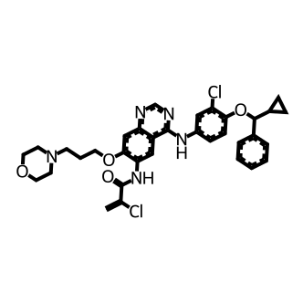 C=C(Cl)C(=O)Nc1cc2c(Nc3ccc(OC(c4ccccc4)C4CC4)c(Cl)c3)ncnc2cc1OCCCN1CCOCC1